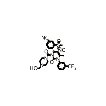 [C-]#[N+]C1=C(C)N(c2cccc(C(F)(F)F)c2)C(=O)N(C(=O)N2CCN(CO)CC2)[C@@H]1c1ccc(C#N)cc1S(C)(=O)=O